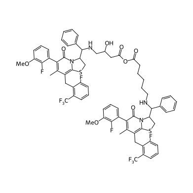 COc1cccc(-c2c(C)c(Cc3c(F)cccc3C(F)(F)F)c3n(c2=O)C(C(NCCCCCC(=O)OC(=O)CC(O)CNC(c2ccccc2)C2CSc4c(Cc5c(F)cccc5C(F)(F)F)c(C)c(-c5cccc(OC)c5F)c(=O)n42)c2ccccc2)CS3)c1F